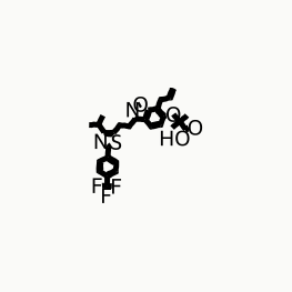 C=CCc1c(OC(C)(C)C(=O)O)ccc2c(CCc3sc(-c4ccc(C(F)(F)F)cc4)nc3C(C)C)noc12